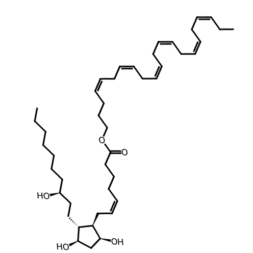 CC/C=C\C/C=C\C/C=C\C/C=C\C/C=C\C/C=C\CCCOC(=O)CCC/C=C\C[C@@H]1[C@@H](CC[C@@H](O)CCCCCCC)[C@H](O)C[C@@H]1O